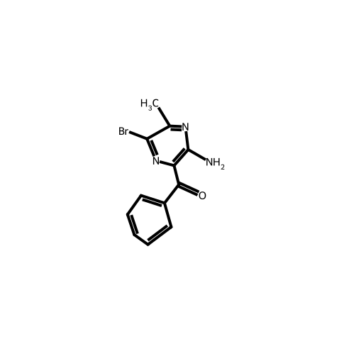 Cc1nc(N)c(C(=O)c2ccccc2)nc1Br